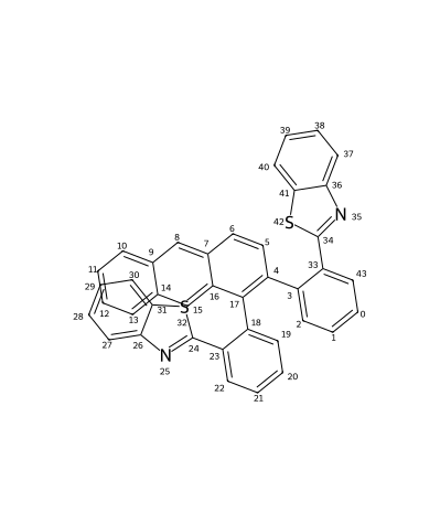 c1ccc(-c2ccc3cc4ccccc4cc3c2-c2ccccc2-c2nc3ccccc3s2)c(-c2nc3ccccc3s2)c1